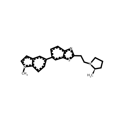 C[C@@H]1CCCN1CCc1nc2ccc(-c3ccc4c(ccn4C)c3)cc2s1